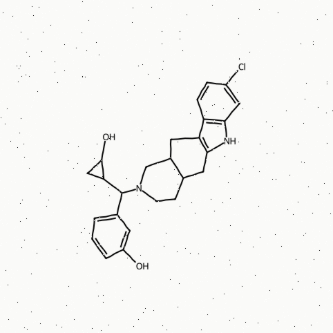 Oc1cccc(C(C2CC2O)N2CCC3Cc4[nH]c5cc(Cl)ccc5c4CC3C2)c1